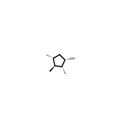 C[C@@H]1[C@@H](C)[C@@H](O)C[C@H]1C